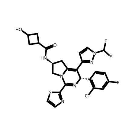 O=C(N[C@H]1CC2=C(c3ccn(C(F)F)n3)[C@H](c3ccc(F)cc3Cl)N=C(c3nccs3)N2C1)C1CC(O)C1